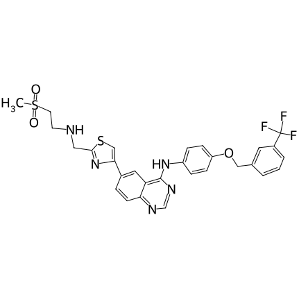 CS(=O)(=O)CCNCc1nc(-c2ccc3ncnc(Nc4ccc(OCc5cccc(C(F)(F)F)c5)cc4)c3c2)cs1